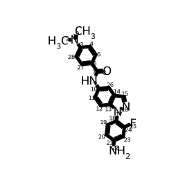 CN(C)c1ccc(C(=O)Nc2ccc3c(cnn3-c3ccc(N)cc3F)c2)cc1